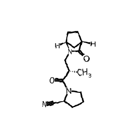 C[C@@H](CN1C(=O)[C@H]2CC[C@@H]1C2)C(=O)N1CCC[C@H]1C#N